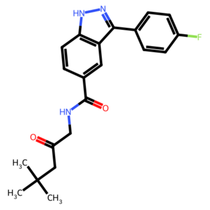 CC(C)(C)CC(=O)CNC(=O)c1ccc2[nH]nc(-c3ccc(F)cc3)c2c1